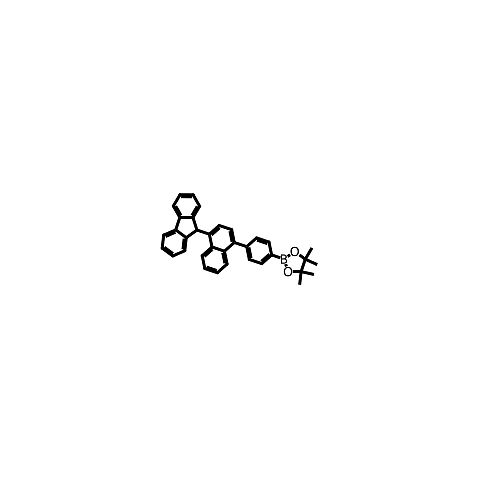 CC1(C)OB(c2ccc(-c3ccc(C4c5ccccc5-c5ccccc54)c4ccccc34)cc2)OC1(C)C